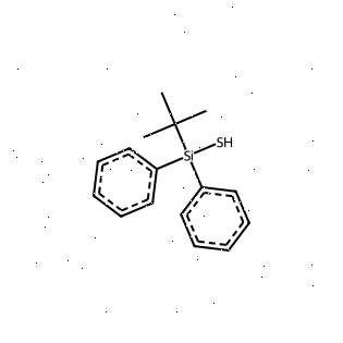 CC(C)(C)[Si](S)(c1ccccc1)c1ccccc1